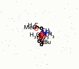 COC(=O)C(C)CCc1cccc(C(C)(CCCC(C)(C)CS(=O)(=O)CCO[Si](c2ccccc2)(c2ccccc2)C(C)(C)C)C(=O)NN(C)C(=O)OC(C)(C)C)c1